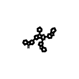 c1ccc(-n2c3ccc(-c4ccc5[nH]c6ccccc6c5c4)cc3c3c(-c4ccc5sc6ccccc6c5c4)nc(-c4ccc5sc6ccccc6c5c4)nc32)cc1